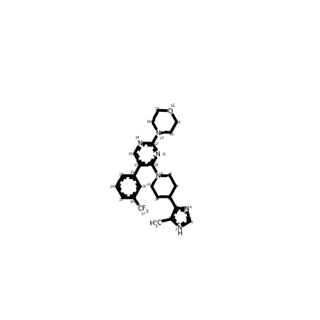 Cc1[nH]cnc1C1CCN(c2nc(N3CCOCC3)ncc2-c2cccc(C(F)(F)F)c2)CC1